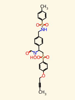 CC#CCOc1ccc(S(=O)(=O)CC(c2ccc(CNS(=O)(=O)c3ccc(C)cc3)cc2)N(O)C=O)cc1